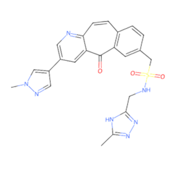 Cc1nnc(CNS(=O)(=O)Cc2ccc3ccc4ncc(-c5cnn(C)c5)cc4c(=O)c3c2)[nH]1